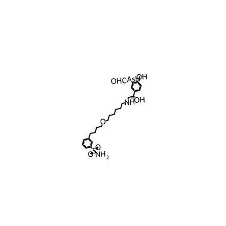 NS(=O)(=O)c1cccc(CCCCOCCCCCCNC[C@H](O)c2ccc(O)c([AsH]C=O)c2)c1